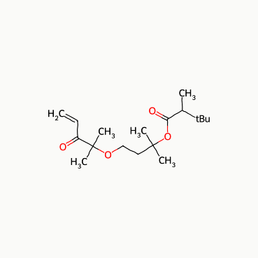 C=CC(=O)C(C)(C)OCCC(C)(C)OC(=O)C(C)C(C)(C)C